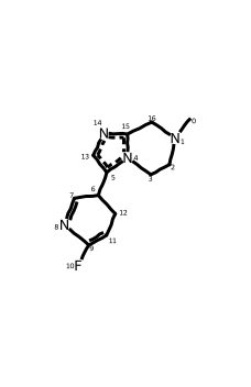 CN1CCn2c(C3C=NC(F)=CC3)cnc2C1